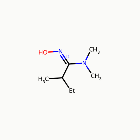 CCC(C)/C(=N\O)N(C)C